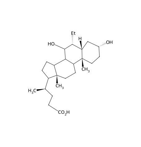 CC[C@H]1C(O)C2C3CCC([C@H](C)CCC(=O)O)[C@@]3(C)CCC2[C@@]2(C)CC[C@@H](O)C[C@@H]12